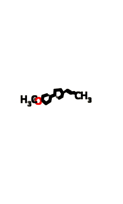 CCC=C[C@H]1CC[C@H]([C@H]2CC[C@H](OC)CC2)CC1